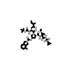 C=C[C@@H]1C[C@]1(NC(=O)[C@@H]1C[C@@H](OC(=O)N2Cc3cccc(F)c3C2)CN1C(=O)[C@H](CC(=O)C(C)=CC)NC(=O)OC(C)(C)C)C(=O)NS(=O)(=O)C1CC1